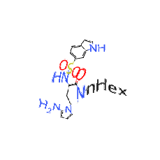 CCCCCCN(C)C(=O)C(CCn1cccc1N)NS(=O)(=O)c1ccc2cc[nH]c2c1